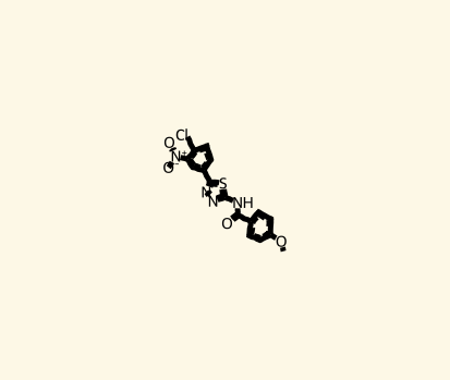 COc1ccc(C(=O)Nc2nnc(-c3ccc(Cl)c([N+](=O)[O-])c3)s2)cc1